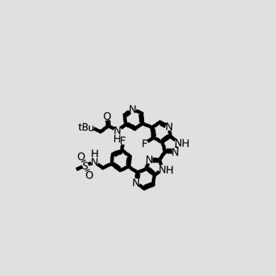 CC(C)(C)CC(=O)Nc1cncc(-c2cnc3[nH]nc(-c4nc5c(-c6cc(F)cc(CNS(C)(=O)=O)c6)nccc5[nH]4)c3c2F)c1